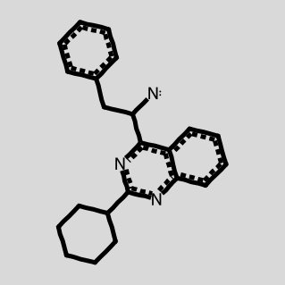 [N]C(Cc1ccccc1)c1nc(C2CCCCC2)nc2ccccc12